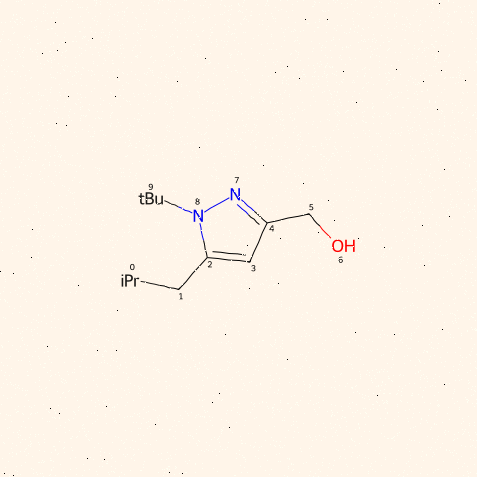 CC(C)Cc1cc(CO)nn1C(C)(C)C